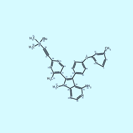 Cc1ccnc(Oc2ccc(-c3c(-c4cnc(C#C[Si](C)(C)C(C)(C)C)nc4C)n(C)c4ncnc(N)c34)cc2)n1